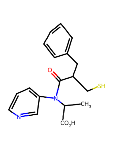 CC(C(=O)O)N(C(=O)C(CS)Cc1ccccc1)c1cccnc1